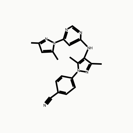 Cc1cc(C)n(-c2cc(Nc3c(C)nn(-c4ccc(C#N)cc4)c3C)ncn2)n1